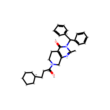 Cc1nc2c(c(=O)n1C(c1ccccc1)c1ccccc1)CCN(C(=O)CCC1CCCCC1)C2